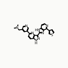 CN(C)Cc1cncc(-c2ccc3[nH]nc(-c4nc5c(-c6ccsc6)nccc5[nH]4)c3n2)c1